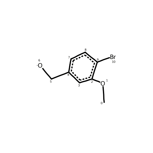 COc1cc(C[O])ccc1Br